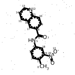 Cc1ccc(NC(=O)c2ccc3ncccc3c2)cc1[N+](=O)[O-]